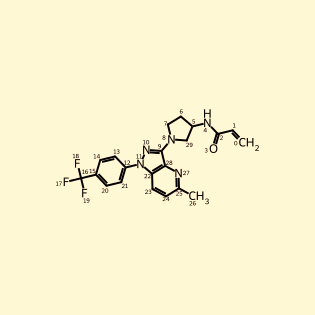 C=CC(=O)NC1CCN(c2nn(-c3ccc(C(F)(F)F)cc3)c3ccc(C)nc23)C1